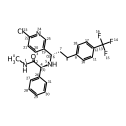 CNC(=O)[C@@H](N[C@@H](CCc1ccc(C(F)(F)F)cc1)c1ccc(Cl)nc1)c1ccccc1